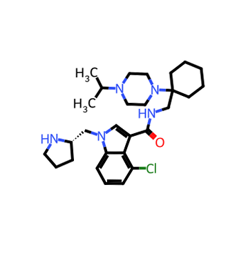 CC(C)N1CCN(C2(CNC(=O)c3cn(C[C@@H]4CCCN4)c4cccc(Cl)c34)CCCCC2)CC1